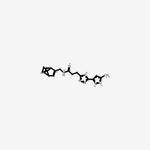 Cc1cc(-c2nnc(CCC(=O)NCC3=CC4CCC3C43CC3)o2)no1